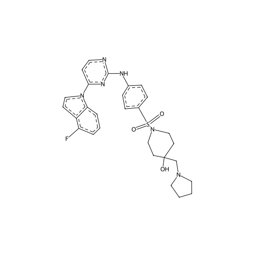 O=S(=O)(c1ccc(Nc2nccc(-n3ccc4c(F)cccc43)n2)cc1)N1CCC(O)(CN2CCCC2)CC1